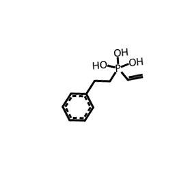 C=CP(O)(O)(O)CCc1ccccc1